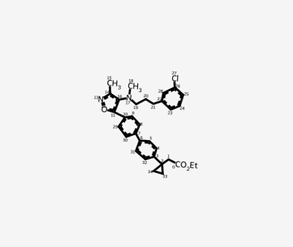 CCOC(=O)CC1(c2ccc(-c3ccc(-c4onc(C)c4N(C)CCCc4cccc(Cl)c4)cc3)cc2)CC1